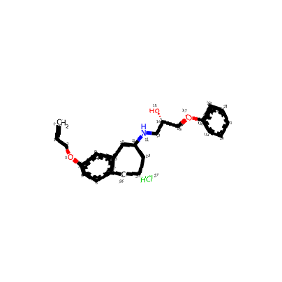 C=CCOc1ccc2c(c1)CC(NC[C@H](O)COc1ccccc1)CCC2.Cl